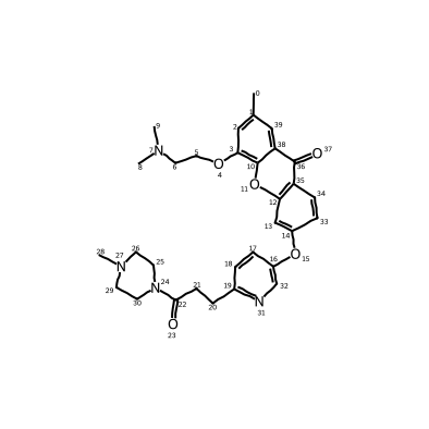 Cc1cc(OCCN(C)C)c2oc3cc(Oc4ccc(CCC(=O)N5CCN(C)CC5)nc4)ccc3c(=O)c2c1